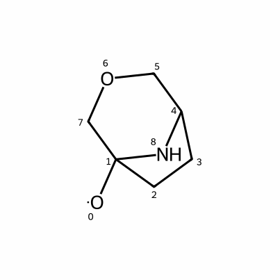 [O]C12CCC(COC1)N2